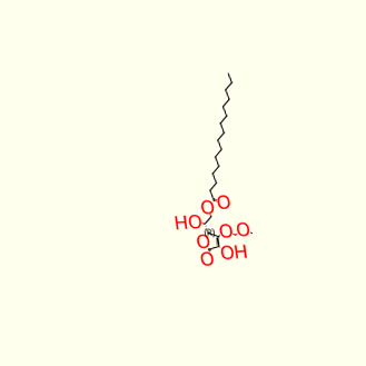 CCCCCCCCCCCCCCCC(=O)OCC(O)[C@H]1OC(=O)C(O)=C1OCOC